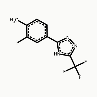 Cc1ccc(-c2nnc(C(F)(F)F)[nH]2)cc1I